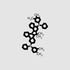 Cc1ccc(N(c2ccccc2)c2ccc3c4c(c5ccccc5c3c2)-c2c(cc(N(c3ccccc3)c3ccc(C)c(C)c3)c3ccccc23)C4(C)C)cc1C